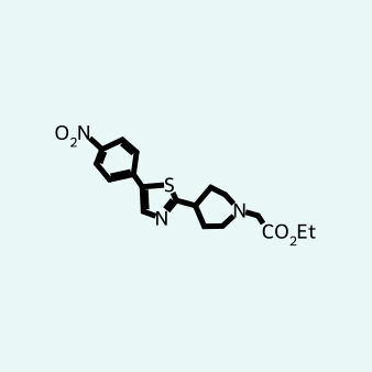 CCOC(=O)CN1CCC(c2ncc(-c3ccc([N+](=O)[O-])cc3)s2)CC1